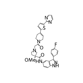 CO[C@@]1(C(=O)Nc2ccc3[nH]nc(-c4ccc(F)cc4)c3c2)CCN(CC(=O)N2CC=C(c3ccc(-c4ncccn4)s3)CC2)C1